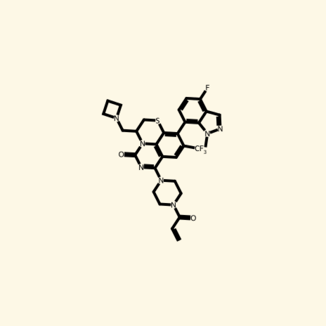 C=CC(=O)N1CCN(c2nc(=O)n3c4c(c(-c5ccc(F)c6cnn(C)c56)c(C(F)(F)F)cc24)SCC3CN2CCC2)CC1